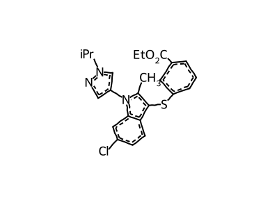 CCOC(=O)c1cccc(Sc2c(C)n(-c3cnn(C(C)C)c3)c3cc(Cl)ccc23)c1